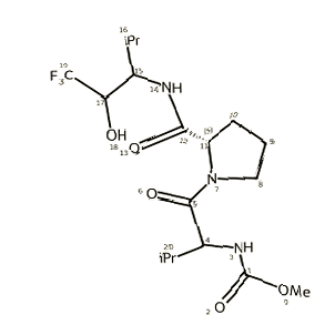 COC(=O)NC(C(=O)N1CCC[C@H]1C(=O)NC(C(C)C)C(O)C(F)(F)F)C(C)C